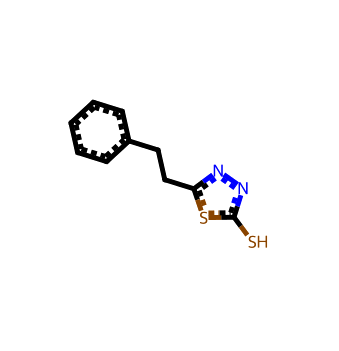 Sc1nnc(CCc2ccccc2)s1